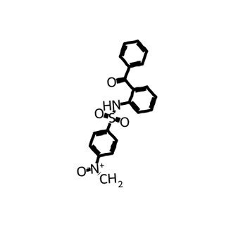 C=[N+]([O-])c1ccc(S(=O)(=O)Nc2ccccc2C(=O)c2ccccc2)cc1